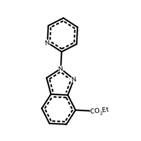 CCOC(=O)c1cccc2cn(-c3ccccn3)nc12